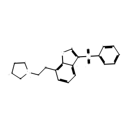 O=S(=O)(c1ccccc1)c1c[nH]c2c(CCN3CCCC3)cccc12